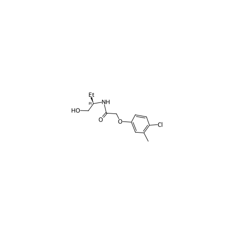 CC[C@H](CO)NC(=O)COc1ccc(Cl)c(C)c1